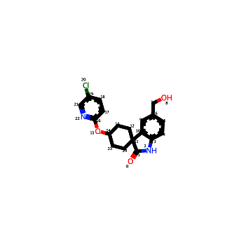 O=C1Nc2ccc(CO)cc2C12CCC(Oc1ccc(Cl)cn1)CC2